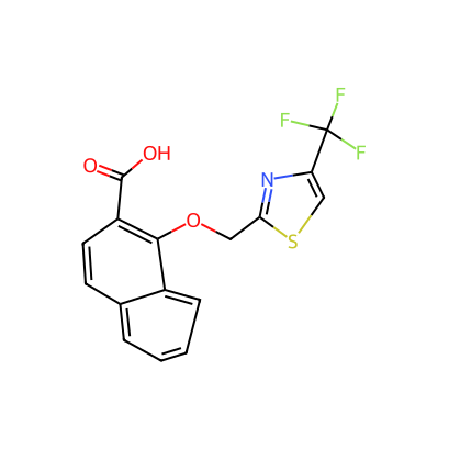 O=C(O)c1ccc2ccccc2c1OCc1nc(C(F)(F)F)cs1